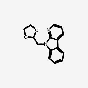 c1ccc2c(c1)c1cccnc1n2CC1OCCO1